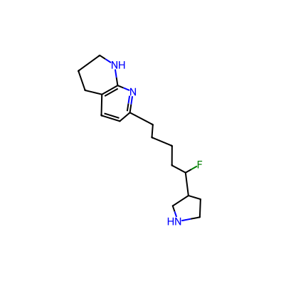 FC(CCCCc1ccc2c(n1)NCCC2)C1CCNC1